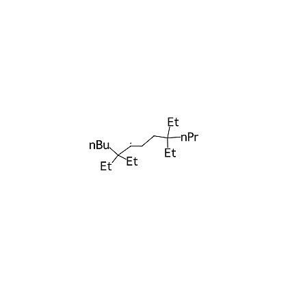 CCCCC([CH]CCC(CC)(CC)CCC)(CC)CC